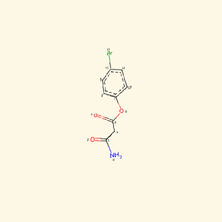 NC(=O)CC(=O)Oc1ccc(Br)cc1